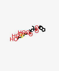 CCC(C)(CC(C)(C)C(=O)OCC(O)C[S+]([O-])CC(O)CO)C(=O)OC1CC2CC1C1CCCC21